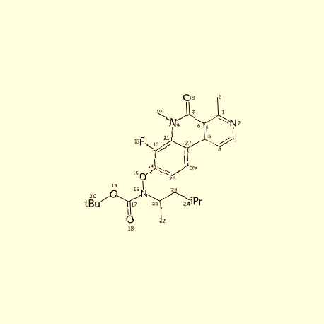 Cc1nccc2c1c(=O)n(C)c1c(F)c(ON(C(=O)OC(C)(C)C)C(C)CC(C)C)ccc21